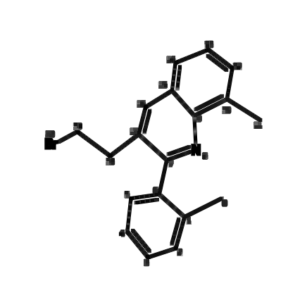 Cc1ccccc1-c1nc2c(C)cccc2cc1CCBr